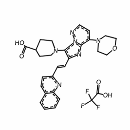 O=C(O)C(F)(F)F.O=C(O)C1CCN(c2c(C=Cc3ccc4ccccc4n3)nc3c(N4CCOCC4)ccnn23)CC1